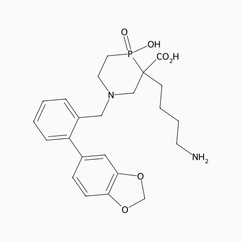 NCCCCC1(C(=O)O)CN(Cc2ccccc2-c2ccc3c(c2)OCO3)CCP1(=O)O